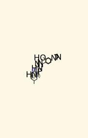 CC1C[C@H]2C/C(=C/c3ncc(-c4ccc(-n5ccnc5)cc4O)nn3)[C@@H](F)[C@@](C)(C1)N2